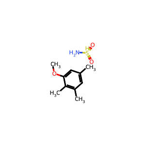 COc1cc(C)cc(C)c1C.N[SH](=O)=O